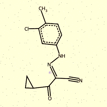 Cc1ccc(N/N=C(\C#N)C(=O)C2CC2)cc1Cl